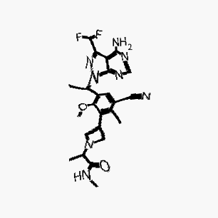 CNC(=O)C(C)N1CC(c2c(C)c(C#N)cc(C(C)n3nc(C(F)F)c4c(N)ncnc43)c2OC)C1